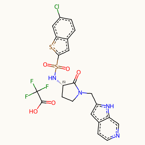 O=C(O)C(F)(F)F.O=C1[C@@H](NS(=O)(=O)c2cc3ccc(Cl)cc3s2)CCN1Cc1cc2ccncc2[nH]1